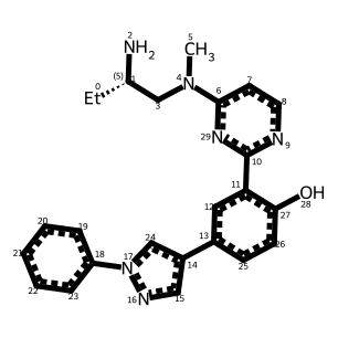 CC[C@H](N)CN(C)c1ccnc(-c2cc(-c3cnn(-c4ccccc4)c3)ccc2O)n1